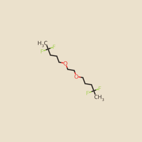 CC(F)(F)CCCOCCOCCCC(C)(F)F